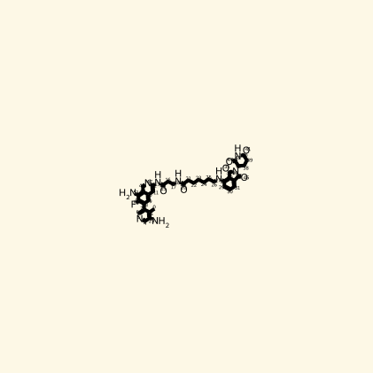 Cc1c(N)cncc1-c1cc2cc(NC(=O)CCNC(=O)CCCCCCNc3cccc4c3C(=O)N(C3CCC(=O)NC3=O)C4=O)ncc2c(N)c1F